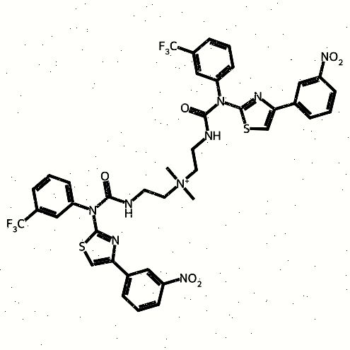 C[N+](C)(CCNC(=O)N(c1cccc(C(F)(F)F)c1)c1nc(-c2cccc([N+](=O)[O-])c2)cs1)CCNC(=O)N(c1cccc(C(F)(F)F)c1)c1nc(-c2cccc([N+](=O)[O-])c2)cs1